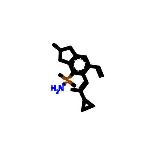 C=Cc1cc2c(c(S(C)(C)N)c1/C=C(\C)C1CC1)CC(C)C2